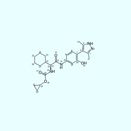 Cc1n[nH]c(C)c1-c1ccc(NC(=O)[C@@H](NC(=O)OC2CC2)C2CCCCC2)cc1O